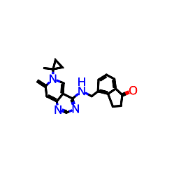 C=C1C=c2ncnc(NCc3cccc4c3CCC4=O)c2=CN1C1(C)CC1